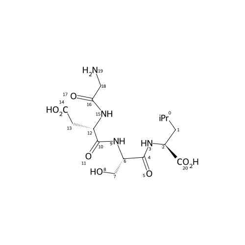 CC(C)C[C@H](NC(=O)[C@H](CO)NC(=O)[C@H](CC(=O)O)NC(=O)CN)C(=O)O